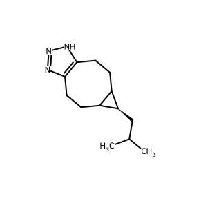 CC(C)C[C@H]1C2CCc3nn[nH]c3CCC21